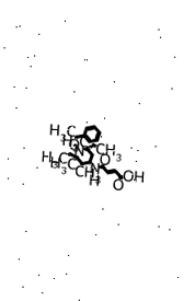 CCC1(C)CC(NC(=O)C=CC(=O)O)C(C)C(C)(CC)N1OC(C)c1ccccc1